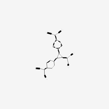 N#CC(C#N)=C1C=C/C(=C2/C(=C(C#N)C#N)C2=c2ccc(=C(C#N)C#N)cc2)CC1